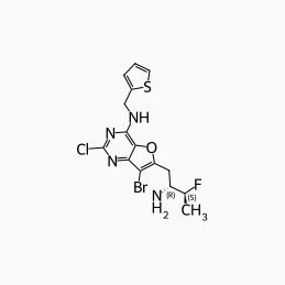 C[C@H](F)[C@H](N)Cc1oc2c(NCc3cccs3)nc(Cl)nc2c1Br